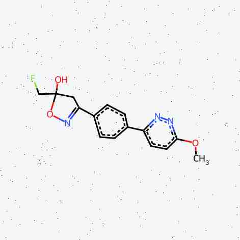 COc1ccc(-c2ccc(C3=NOC(O)(CF)C3)cc2)nn1